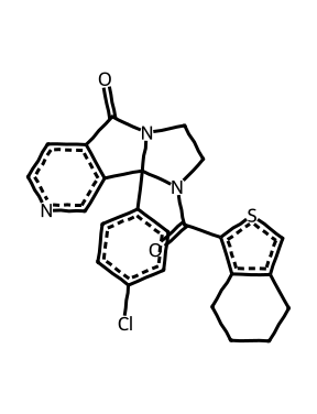 O=C1c2ccncc2C2(c3ccc(Cl)cc3)N1CCN2C(=O)c1scc2c1CCCC2